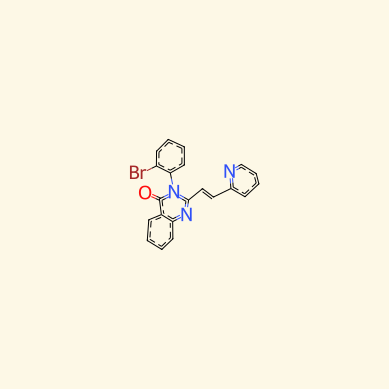 O=c1c2ccccc2nc(C=Cc2ccccn2)n1-c1ccccc1Br